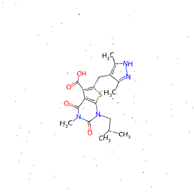 Cc1n[nH]c(C)c1Cc1sc2c(c1C(=O)O)c(=O)n(C)c(=O)n2CC(C)C